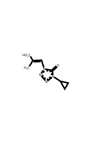 CC(=Cn1nnn(C2CC2)c1=O)C(=O)O